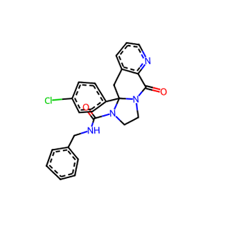 O=C(NCc1ccccc1)N1CCN2C(=O)c3ncccc3CC12c1ccc(Cl)cc1